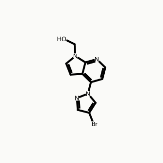 OCn1ccc2c(-n3cc(Br)cn3)ccnc21